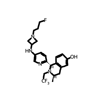 C[C@@H]1Cc2cc(O)ccc2[C@@H](c2ccc(NC3CN(CCCF)C3)cn2)N1CC(F)(F)F